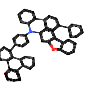 c1ccc(-c2ccc(-c3ccccc3N(c3ccc(-c4cccc(-c5ccccc5)c4-c4ccccc4-c4ccccc4)cc3)c3ccc4c(c3)oc3ccccc34)cc2)cc1